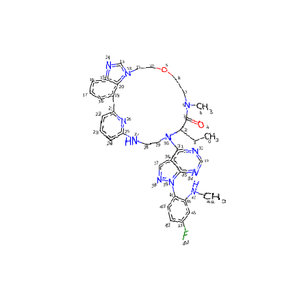 CCC1C(=O)N(C)CCOCCn2cnc3cccc(c32)-c2cccc(n2)NCCN1c1ncnc2c1cnn2-c1ccc(F)cc1NC